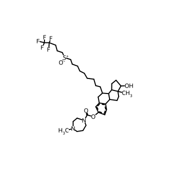 CN1CCCN(C(=O)Oc2ccc3c(c2)CC(CCCCCCCCC[S+]([O-])CCCC(F)(F)C(F)(F)F)C2C3CCC3(C)C(O)CCC23)CC1